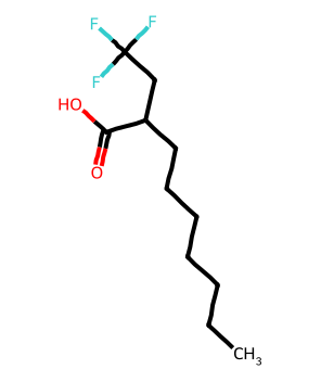 CCCCCCCC(CC(F)(F)F)C(=O)O